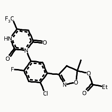 CCC(=O)OC1(C)CC(c2cc(-n3c(=O)cc(C(F)(F)F)[nH]c3=O)c(F)cc2Cl)=NO1